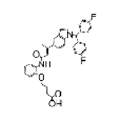 CC(=CC(=O)Nc1ccccc1OCCCC(=O)O)c1ccc2c(ccn2C(c2ccc(F)cc2)c2ccc(F)cc2)c1